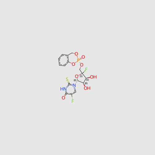 O=c1[nH]c(=S)n([C@@H]2O[C@](F)(COP3(=O)OCc4ccccc4O3)[C@@H](O)[C@H]2O)cc1F